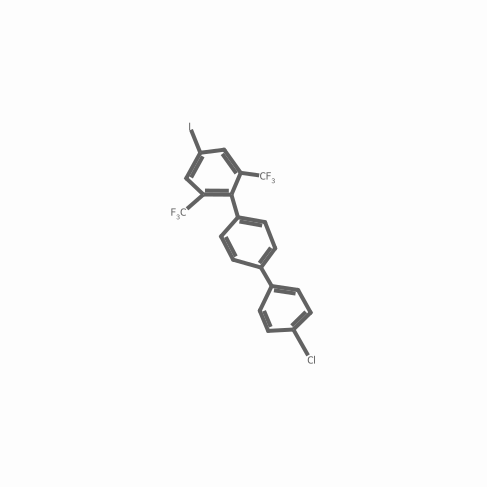 FC(F)(F)c1cc(I)cc(C(F)(F)F)c1-c1ccc(-c2ccc(Cl)cc2)cc1